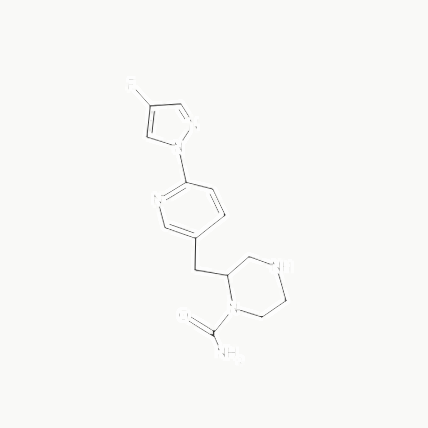 NC(=O)N1CCNCC1Cc1ccc(-n2cc(F)cn2)nc1